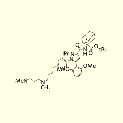 CNCCCN(C)CCCCc1ccc(-n2nc(C(=O)NC3(C(=O)OC(C)(C)C)C4CC5CC(C4)CC3C5)cc2-c2c(OC)cccc2OC)c(C(C)C)c1